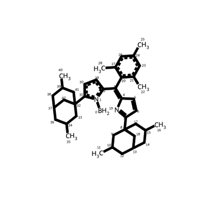 Bn1c(/C(=C2/C=CC(C34CC(C)CC(CC(C)C3)C4)=N2)c2c(C)cc(C)cc2C)ccc1C12CC(C)CC(CC(C)C1)C2